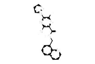 Nc1nc(-n2cccn2)c(Cl)nc1C(=O)NCc1cccc2cccnc12